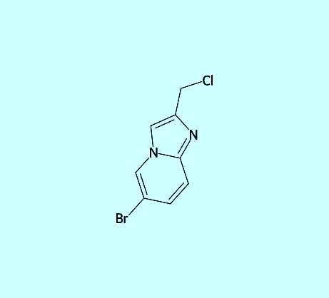 ClCc1cn2cc(Br)ccc2n1